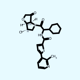 Cc1ncccc1-c1ccc(C(=O)NC(C(=O)N2C[C@H](Cl)[C@H]3OCC(=O)[C@H]32)C2CCCCC2)s1